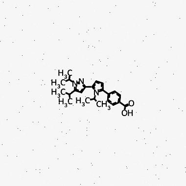 CC(C)c1cc(-c2ccc(-c3ccc(C(=O)O)cc3)n2C(C)C)nn1C(C)C